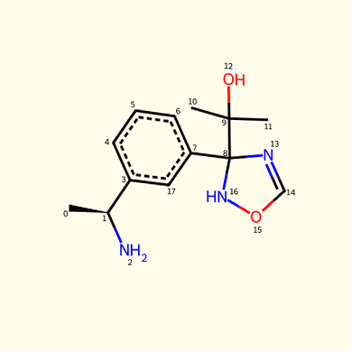 C[C@H](N)c1cccc(C2(C(C)(C)O)N=CON2)c1